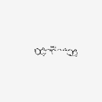 Cl.c1ccc2c(c1)OC[C@H](CNCCCCOc1ccc3c(c1)OCO3)O2